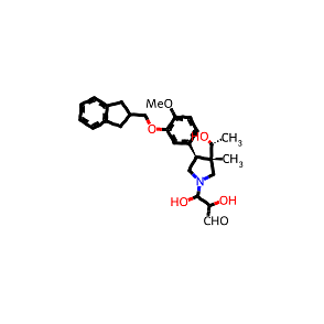 COc1ccc([C@@H]2CN(C(O)C(O)C=O)C[C@@]2(C)[C@@H](C)O)cc1OCC1Cc2ccccc2C1